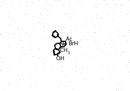 Br.CC(=O)C1CC2C3Cc4ccc(O)cc4[C@@]2(C)CC1N3Cc1ccccc1